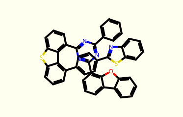 c1ccc(-c2nc(-c3cccc4c3oc3ccccc34)nc(-c3cccc4sc5cccc(-c6ccc(-c7nc8ccccc8s7)cc6)c5c34)n2)cc1